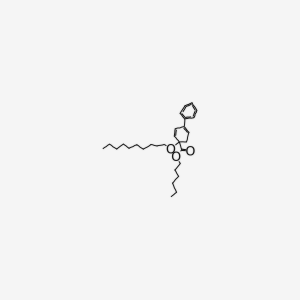 CCCCCCCCCCOC1(C(=O)OCCCCCC)C=CC(c2ccccc2)=CC1